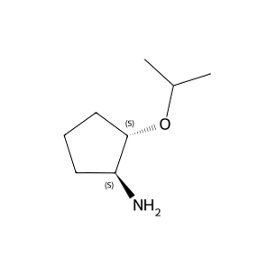 CC(C)O[C@H]1CCC[C@@H]1N